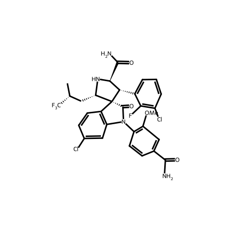 COc1cc(C(N)=O)ccc1N1C(=O)[C@]2(c3ccc(Cl)cc31)[C@H](C[C@@H](C)C(F)(F)F)N[C@@H](C(N)=O)[C@@H]2c1cccc(Cl)c1F